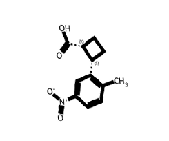 Cc1ccc([N+](=O)[O-])cc1[C@H]1CC[C@H]1C(=O)O